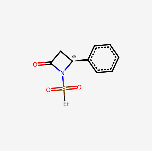 CCS(=O)(=O)N1C(=O)C[C@H]1c1ccccc1